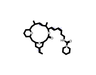 C/C=C1\CC2CC(=O)OC(/C=C/C=C\CCNC(=O)N3CCCCC3)C(C)/C=C/C(C)CC3CCCC(CC(C1)O2)O3